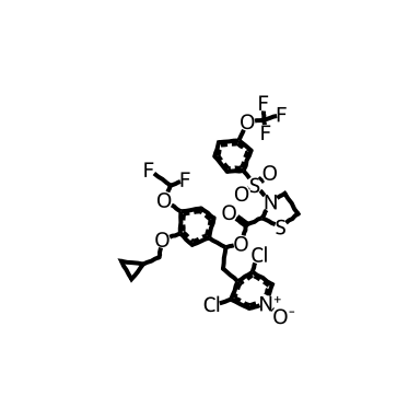 O=C(OC(Cc1c(Cl)c[n+]([O-])cc1Cl)c1ccc(OC(F)F)c(OCC2CC2)c1)C1SCCN1S(=O)(=O)c1cccc(OC(F)(F)F)c1